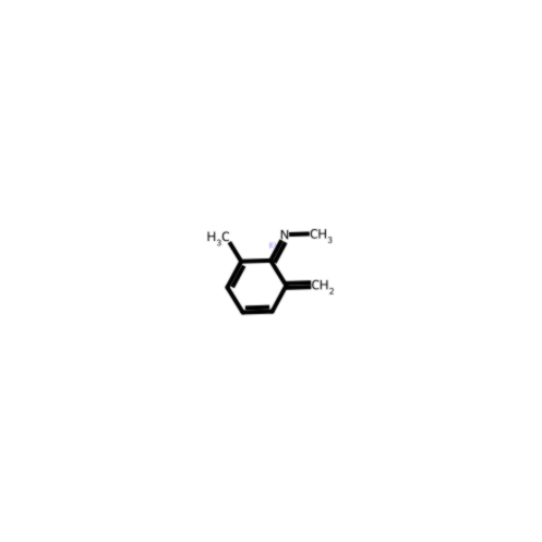 C=C1C=CC=C(C)/C1=N/C